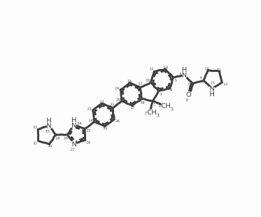 CC1(C)c2cc(NC(=O)C3CCCN3)ccc2-c2ccc(-c3ccc(-c4cnc(C5CCCN5)[nH]4)cc3)cc21